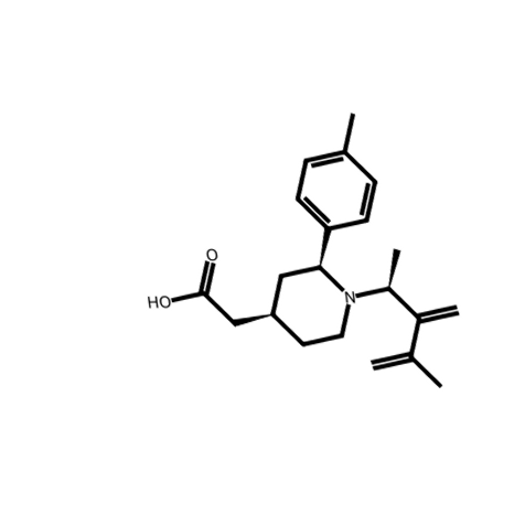 C=C(C)C(=C)[C@H](C)N1CC[C@@H](CC(=O)O)C[C@H]1c1ccc(C)cc1